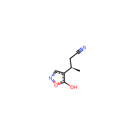 C[C@H](CC#N)c1cnoc1O